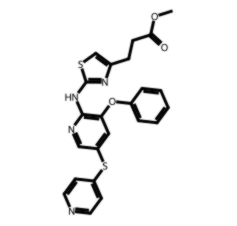 COC(=O)CCc1csc(Nc2ncc(Sc3ccncc3)cc2Oc2ccccc2)n1